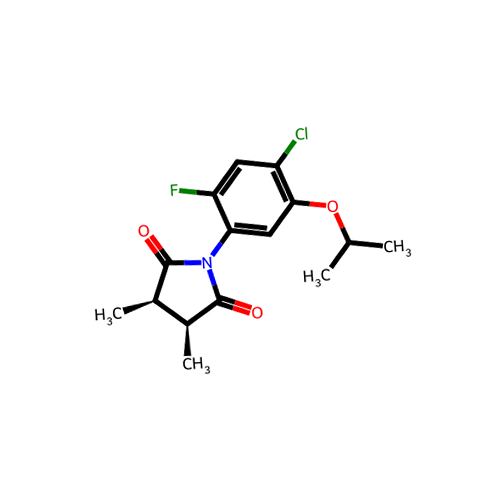 CC(C)Oc1cc(N2C(=O)[C@@H](C)[C@@H](C)C2=O)c(F)cc1Cl